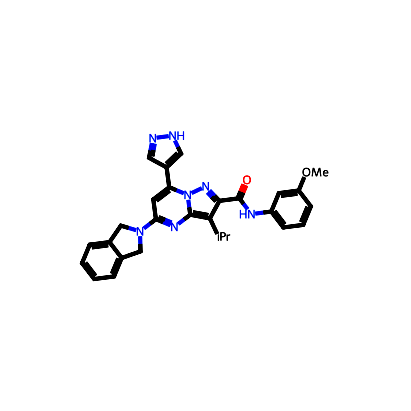 COc1cccc(NC(=O)c2nn3c(-c4cn[nH]c4)cc(N4Cc5ccccc5C4)nc3c2C(C)C)c1